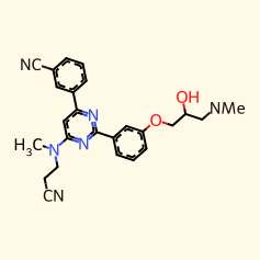 CNCC(O)COc1cccc(-c2nc(-c3cccc(C#N)c3)cc(N(C)CCC#N)n2)c1